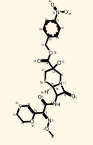 CON=C(C(=O)NC1C(=O)N2CC(Cl)(C(=O)OCc3ccc([N+](=O)[O-])cc3)CS[C@H]12)C1=CSCCO1